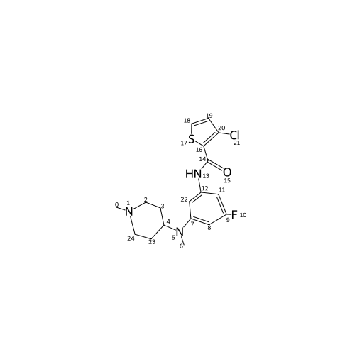 CN1CCC(N(C)c2cc(F)cc(NC(=O)c3sccc3Cl)c2)CC1